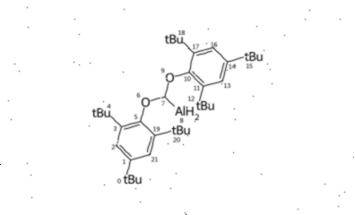 CC(C)(C)c1cc(C(C)(C)C)c(O[CH]([AlH2])Oc2c(C(C)(C)C)cc(C(C)(C)C)cc2C(C)(C)C)c(C(C)(C)C)c1